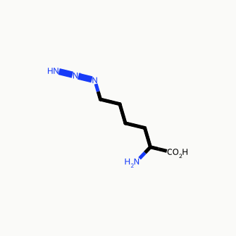 N=[N+]=NCCCCC(N)C(=O)O